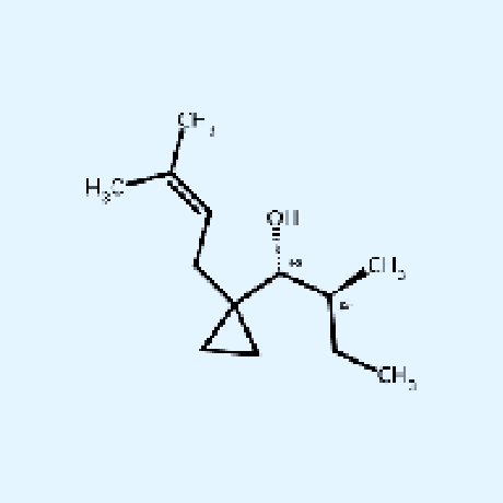 CC[C@H](C)[C@@H](O)C1(CC=C(C)C)CC1